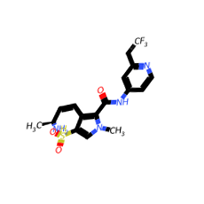 C[C@H](N)/C=C\c1c([SH](=O)=O)cn(C)c1C(=O)Nc1ccnc(CC(F)(F)F)c1